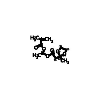 C=C(C)C(=O)OC(C)OC(=O)CC1(C)OCCO1